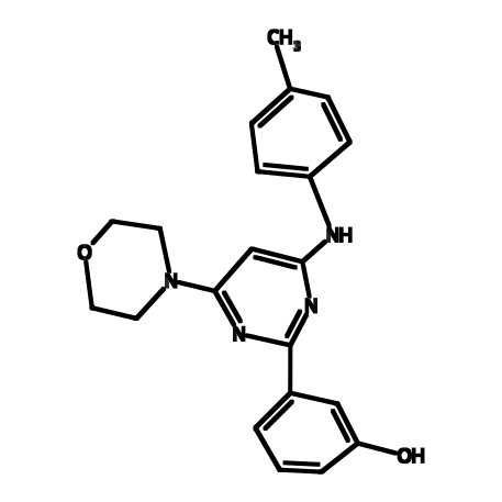 Cc1ccc(Nc2cc(N3CCOCC3)nc(-c3cccc(O)c3)n2)cc1